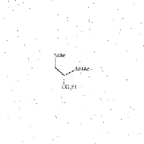 CCOC(=O)[C@H](CSC)NC(C)=O